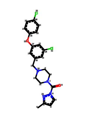 Cc1ccn(C(=O)N2CCN(Cc3cc(Cl)cc(Oc4ccc(Cl)cc4)c3)CC2)n1